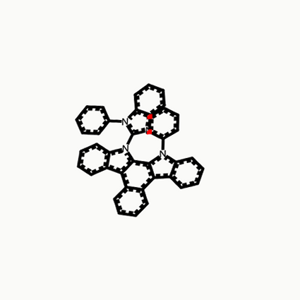 c1ccc(-n2c(-n3c4ccccc4c4c5ccccc5c5c6ccccc6n(-c6ccccc6)c5c43)nc3ccccc32)cc1